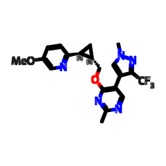 COc1ccc([C@H]2C[C@@H]2COc2nc(C)ncc2-c2cn(C)nc2C(F)(F)F)nc1